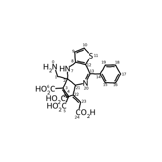 NCC1(C(=CC(=O)O)C(=O)O)Nc2ccsc2C(c2ccccc2)=NC1C(=CC(=O)O)C(=O)O